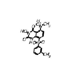 Cc1cccc(S(=O)(=O)c2ccc(N(C)C)c3c(=O)n(O)c(=O)[nH]c23)c1